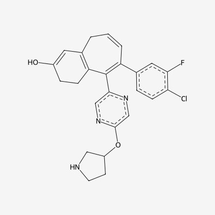 OC1=CC2=C(CC1)C(c1cnc(OC3CCNC3)cn1)=C(c1ccc(Cl)c(F)c1)C=CC2